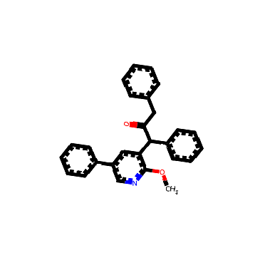 COc1ncc(-c2ccccc2)cc1C(C(=O)Cc1ccccc1)c1ccccc1